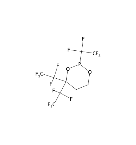 FC(F)(F)C(F)(F)P1OCCC(C(F)(F)C(F)(F)F)(C(F)(F)C(F)(F)F)O1